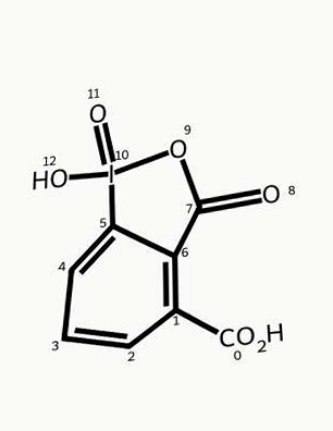 O=C(O)c1cccc2c1C(=O)OI2(=O)O